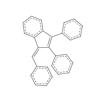 C(=C1/C(c2ccccc2)=C(c2ccccc2)c2ccccc21)/c1ccccc1